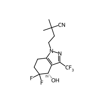 CC(C)(C#N)CCn1nc(C(F)(F)F)c2c1CCC(F)(F)[C@H]2O